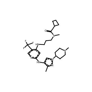 Cc1nn(C2CCN(C)CC2)cc1Nc1cc(NCCCN(C)C(=O)C2CCC2)c(C(F)(F)F)cn1